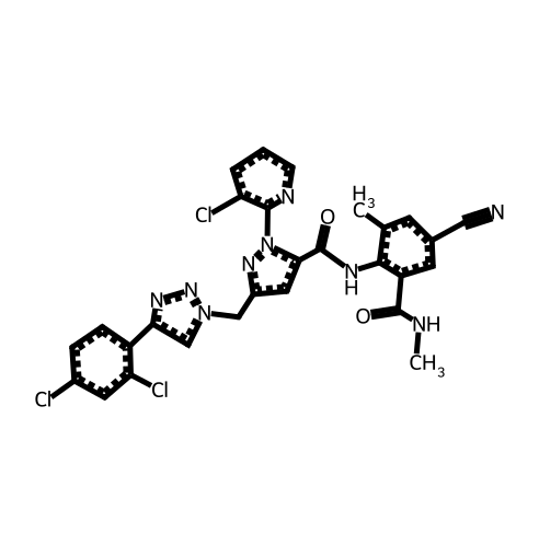 CNC(=O)c1cc(C#N)cc(C)c1NC(=O)c1cc(Cn2cc(-c3ccc(Cl)cc3Cl)nn2)nn1-c1ncccc1Cl